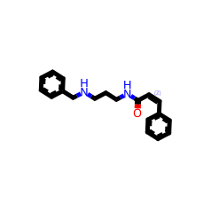 O=C(/C=C\c1ccccc1)NCCCNCc1ccccc1